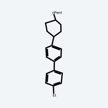 CCCCCC1CCC(c2ccc(-c3ccc(CC)cc3)cc2)CC1